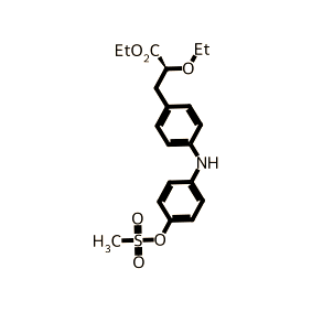 CCOC(=O)[C@H](Cc1ccc(Nc2ccc(OS(C)(=O)=O)cc2)cc1)OCC